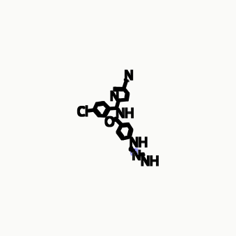 N#Cc1ccc(C(NC(=O)c2ccc(N/C=N\C=N)cc2)c2ccc(Cl)cc2)nc1